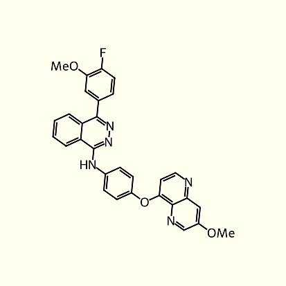 COc1cnc2c(Oc3ccc(Nc4nnc(-c5ccc(F)c(OC)c5)c5ccccc45)cc3)ccnc2c1